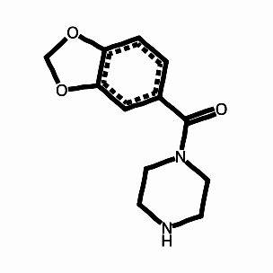 O=C(c1ccc2c(c1)OCO2)N1CCNCC1